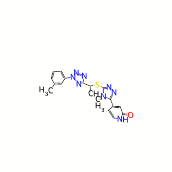 Cc1cccc(-n2nnc(C(C)Sc3nnc(-c4cc[nH]c(=O)c4)n3C)n2)c1